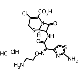 Cl.Cl.NCCO/N=C(\C(=O)NC1C(=O)N2C(C(=O)O)=C(Cl)CS[C@H]12)c1csc(N)n1